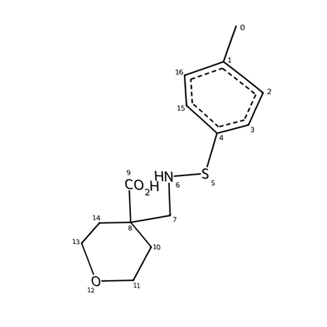 Cc1ccc(SNCC2(C(=O)O)CCOCC2)cc1